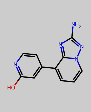 Nc1nc2c(-c3ccnc(O)c3)cccn2n1